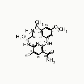 COc1cc(Nc2nc(N[C@H](C)CN)c(F)cc2C(N)=O)cc(OC)c1